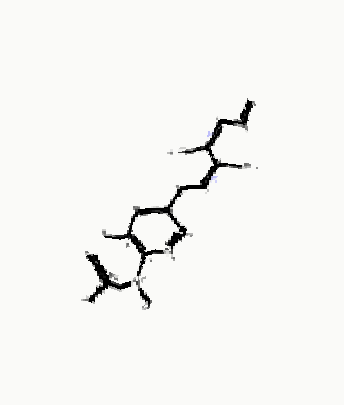 C=C/C=C(F)\C(F)=C/Cc1cnc(N(C)C(=C)C)c(C)c1